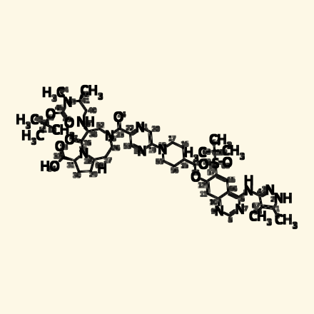 Cc1[nH]nc(Nc2ncnc3cc(OCC4CCN(c5cnc(C(=O)N6CC[C@H]7CC[C@@H](C(=O)O)N7C(=O)[C@@H](NC[C@H](C)N(C)C(=O)OC(C)(C)C)C6)cn5)CC4)c(S(=O)(=O)C(C)(C)C)cc23)c1C